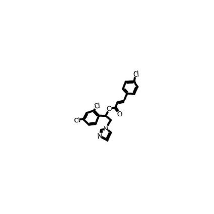 O=C(/C=C/c1ccc(Cl)cc1)OC(Cn1ccnc1)c1ccc(Cl)cc1Cl